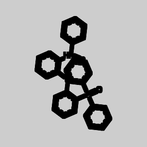 O=[PH](c1ccccc1)c1ccccc1Oc1ccccc1P(=O)(c1ccccc1)c1ccccc1